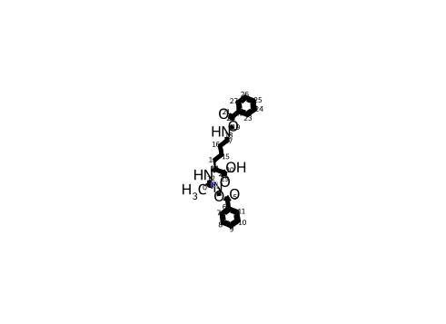 C/C(=N\OC(=O)c1ccccc1)N[C@@H](CCCCNOC(=O)c1ccccc1)C(=O)O